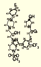 CS(=O)(=O)N1CCc2c(c(-c3ccc(C(F)(F)F)c(SCC(=O)N4CC[C@@H](O)C4)c3)nn2CC(O)CN2CCN(c3ccc(F)cc3)CC2)C1